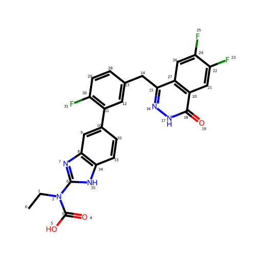 CCN(C(=O)O)c1nc2cc(-c3cc(Cc4n[nH]c(=O)c5cc(F)c(F)cc45)ccc3F)ccc2[nH]1